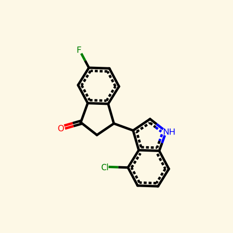 O=C1CC(c2c[nH]c3cccc(Cl)c23)c2ccc(F)cc21